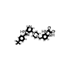 CC(C)(C)c1ccc(-c2nc3c(N4CCN(Cc5ccc6[nH]c(=O)c(=O)[nH]c6c5)CC4)cncc3[nH]2)cc1